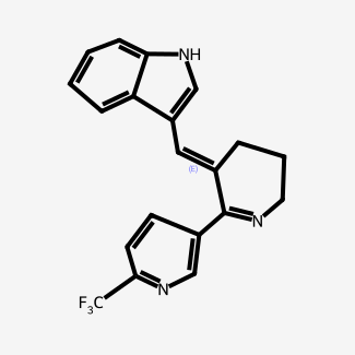 FC(F)(F)c1ccc(C2=NCCC/C2=C\c2c[nH]c3ccccc23)cn1